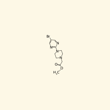 COC(=O)CN1CCN(c2ncc(Br)cn2)CC1